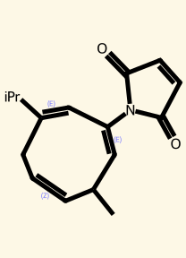 CC1/C=C\C/C(C(C)C)=C\C(N2C(=O)C=CC2=O)=C/1